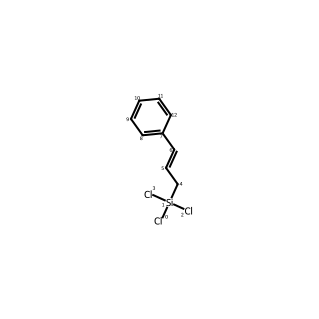 Cl[Si](Cl)(Cl)C/C=C/c1ccccc1